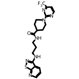 O=C(NCCCNc1nsc2ncccc12)C1CCN(c2nccc(C(F)(F)F)n2)CC1